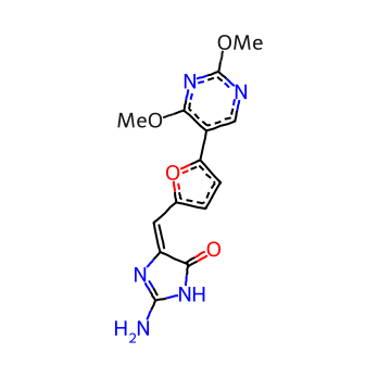 COc1ncc(-c2ccc(/C=C3/N=C(N)NC3=O)o2)c(OC)n1